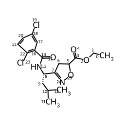 CCOC(=O)C1CC([C@H](CC(C)C)NC(=O)c2cc(Cl)ccc2Cl)=NO1